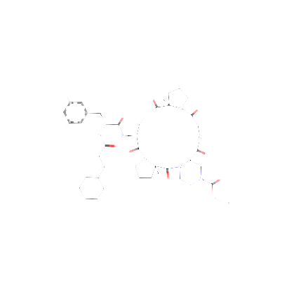 C[C@@H]1NC(=O)C2CN(C(=O)OC(C)(C)C)CCN2C(=O)[C@@H]2CCCN2C(=O)[C@@H](NC(=O)[C@H](Cc2cc(F)cc(F)c2)NC(=O)CCC2CCCCC2)COC(=O)[C@@H]2CCCN2C1=O